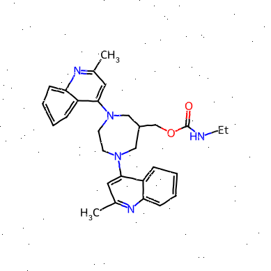 CCNC(=O)OCC1CN(c2cc(C)nc3ccccc23)CCN(c2cc(C)nc3ccccc23)C1